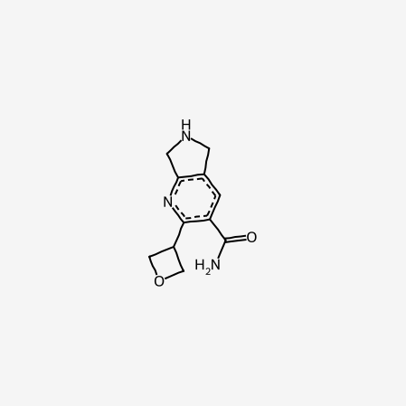 NC(=O)c1cc2c(nc1C1COC1)CNC2